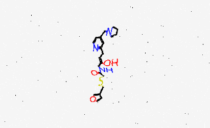 O=C(CSCc1ccoc1)NCC(O)=CCc1cc(CN2CCCC2)ccn1